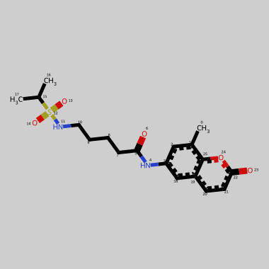 Cc1cc(NC(=O)CCCCNS(=O)(=O)C(C)C)cc2ccc(=O)oc12